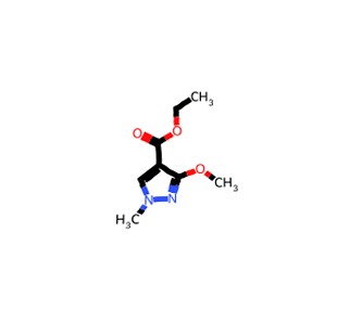 CCOC(=O)c1cn(C)nc1OC